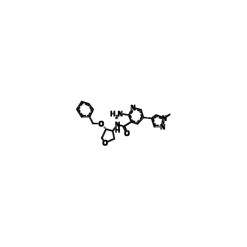 Cn1cc(-c2cnc(N)c(C(=O)NC3COC[C@@H]3OCc3ccccc3)c2)cn1